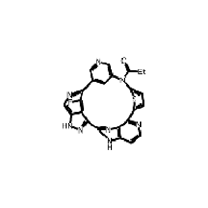 CCC(=O)n1c2cncc(c2)c2ncc3[nH]nc(c4nc5c(ccnc5c5ccc1s5)[nH]4)c3c2F